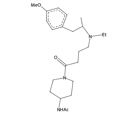 CCN(CCCC(=O)N1CCC(NC(C)=O)CC1)C(C)Cc1ccc(OC)cc1